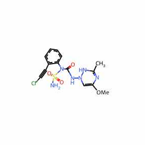 COC1=CN(NC(=O)N(c2ccccc2C#CCl)S(N)(=O)=O)NC(C)=N1